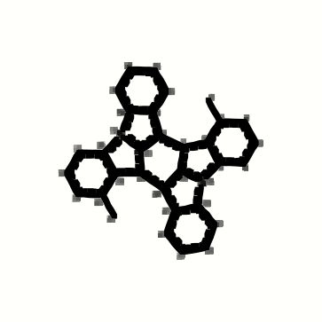 Cc1cccc2c1c1c3c4ccccc4n4c5cccc(C)c5c(c5c6ccccc6n2c51)c34